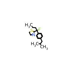 CCCC(F)(c1ccc(CC(C)C)cc1)C1N=CCS1